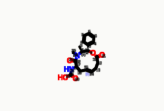 C[C@H]1[C@H](c2ccccc2)OC(=O)CC/C=C/C[C@@H](NC(=O)O)C(=O)N1C